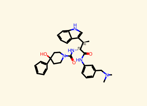 C[C@H](c1c[nH]c2ccccc12)[C@@H](NC(=O)N1CCC(O)(c2ccccc2)CC1)C(=O)Nc1cccc(CN(C)C)c1